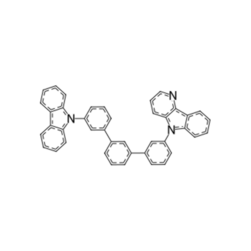 c1cc(-c2cccc(-n3c4ccccc4c4ccccc43)c2)cc(-c2cccc(-n3c4ccccc4c4ncccc43)c2)c1